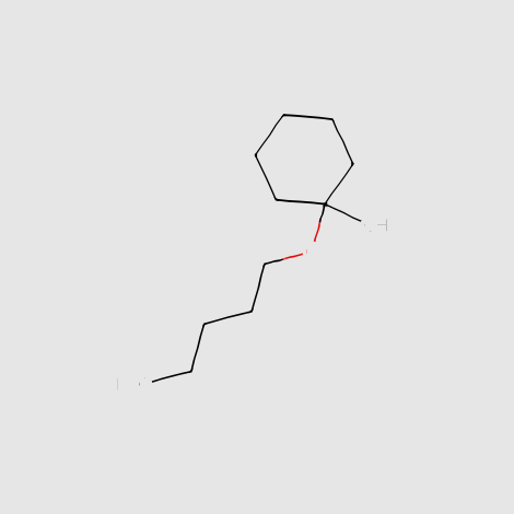 CCCCCOC1(C)CCCCC1